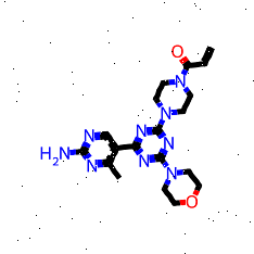 C=CC(=O)N1CCN(c2nc(-c3cnc(N)nc3C)nc(N3CCOCC3)n2)CC1